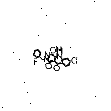 O=c1c2ccc(Cl)cc2[nH]c2c(O)nn(Cc3ccccc3F)c(=O)c12